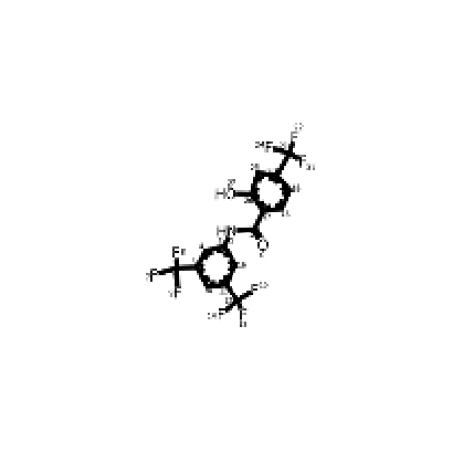 O=C(Nc1cc(C(F)(F)F)cc(C(F)(F)F)c1)c1ccc(C(F)(F)F)cc1O